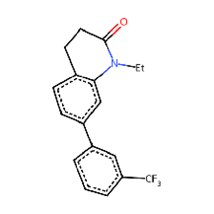 CCN1C(=O)CCc2ccc(-c3cccc(C(F)(F)F)c3)cc21